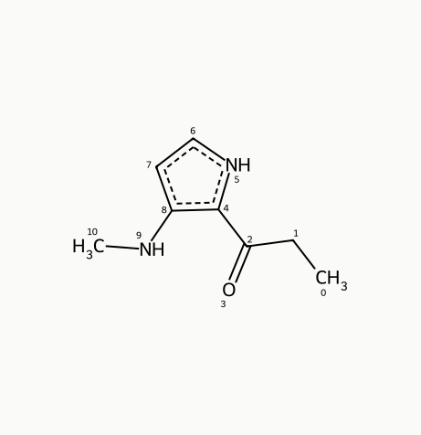 CCC(=O)c1[nH]ccc1NC